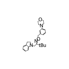 CC(C)(C)C(CN1CCc2ccccc21)=NOCc1cccc(N2CCOCC2)c1